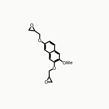 COc1cc2ccc(OCC3CO3)cc2cc1OCC1CO1